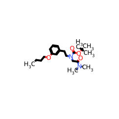 CCCCOc1cccc(CCN(CC(=O)N(C)C)C(=O)OC(C)(C)C)c1